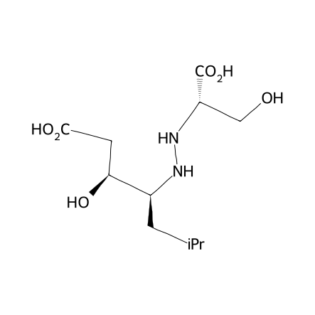 CC(C)C[C@H](NN[C@@H](CO)C(=O)O)[C@@H](O)CC(=O)O